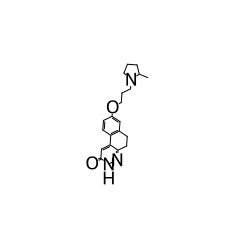 CC1CCCN1CCCOc1ccc2c(c1)CCc1n[nH]c(=O)cc1-2